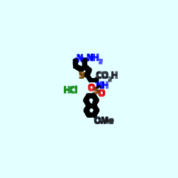 COc1ccc2ccc(S(=O)(=O)NC(Cc3cc4c(N)nccc4s3)C(=O)O)cc2c1.Cl